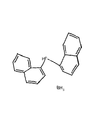 B.c1ccc2c(Pc3cccc4ccccc34)cccc2c1